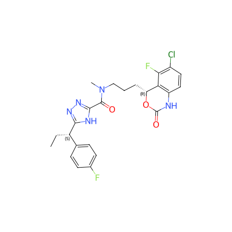 CC[C@@H](c1ccc(F)cc1)c1nnc(C(=O)N(C)CCC[C@H]2OC(=O)Nc3ccc(Cl)c(F)c32)[nH]1